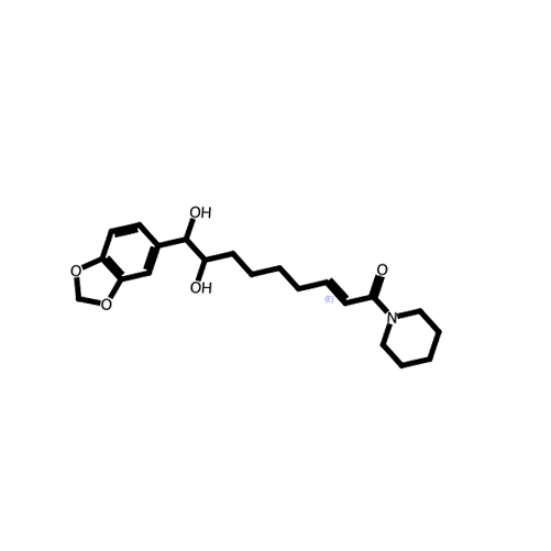 O=C(/C=C/CCCCC(O)C(O)c1ccc2c(c1)OCO2)N1CCCCC1